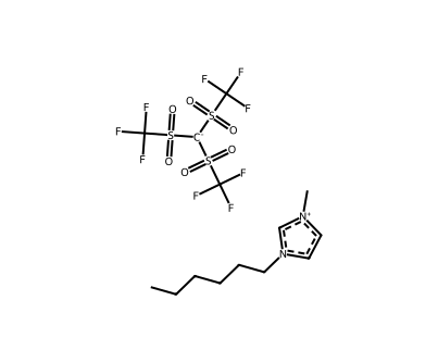 CCCCCCn1cc[n+](C)c1.O=S(=O)([C-](S(=O)(=O)C(F)(F)F)S(=O)(=O)C(F)(F)F)C(F)(F)F